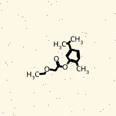 CCOCC(=O)Oc1cc(C(C)C)ccc1C